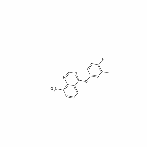 Cc1cc(Oc2ncnc3c([N+](=O)[O-])cccc23)ccc1F